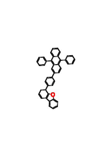 C1=Cc2c(oc3ccccc23)C(c2ccc(-c3ccc4c(-c5ccccc5)c5ccccc5c(-c5ccccc5)c4c3)cc2)C1